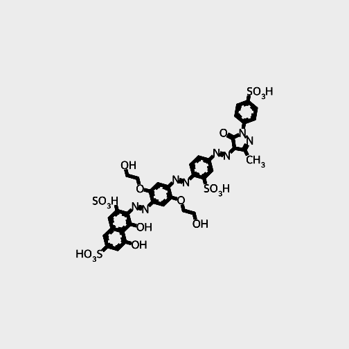 CC1=NN(c2ccc(S(=O)(=O)O)cc2)C(=O)C1/N=N/c1ccc(/N=N/c2cc(OCCO)c(/N=N/c3c(S(=O)(=O)O)cc4cc(S(=O)(=O)O)cc(O)c4c3O)cc2OCCO)c(S(=O)(=O)O)c1